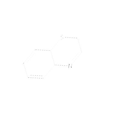 [C]1=NC2C=CC=CC2SC1